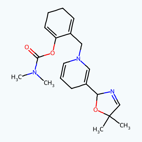 CN(C)C(=O)OC1=CCCC=C1CN1C=CCC(C2N=CC(C)(C)O2)=C1